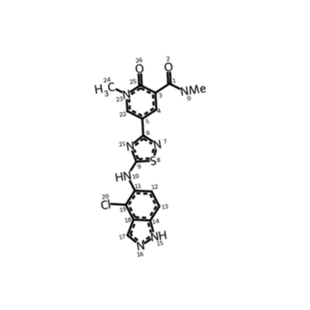 CNC(=O)c1cc(-c2nsc(Nc3ccc4[nH]ncc4c3Cl)n2)cn(C)c1=O